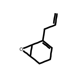 C=CCC1=CCCC2OC12